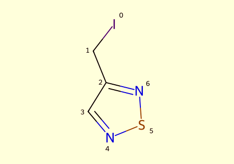 ICc1cnsn1